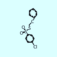 O=S(=O)(SCCc1ccccc1)c1ccc(Cl)cc1